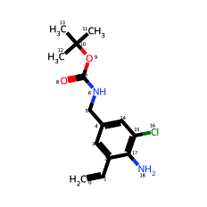 C=Cc1cc(CNC(=O)OC(C)(C)C)cc(Cl)c1N